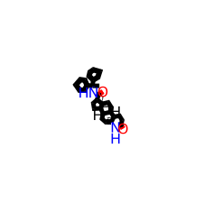 CC(NC(=O)C1CC[C@H]2[C@@H]3CC=C4NC(=O)CC[C@]4(C)[C@@H]3CC[C@]12C)(c1ccccc1)c1ccccc1